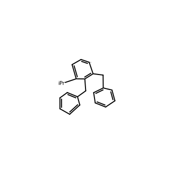 CC(C)c1cc[c]c(Cc2ccccc2)c1Cc1ccccc1